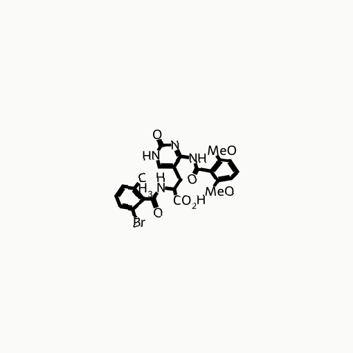 COc1cccc(OC)c1C(=O)Nc1nc(=O)[nH]cc1CC(NC(=O)c1c(C)cccc1Br)C(=O)O